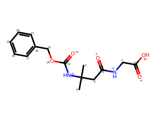 CC(C)(CC(=O)NCC(=O)O)NC(=O)OCc1ccccc1